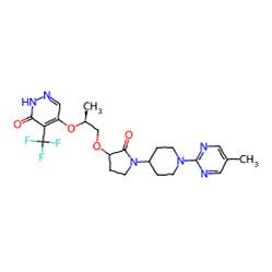 Cc1cnc(N2CCC(N3CCC(OC[C@H](C)Oc4cn[nH]c(=O)c4C(F)(F)F)C3=O)CC2)nc1